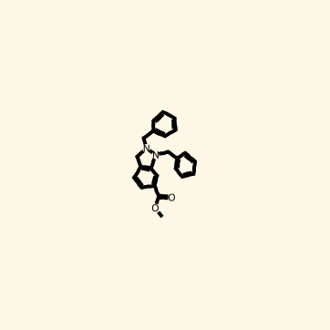 COC(=O)c1ccc2c(c1)N(Cc1ccccc1)N(Cc1ccccc1)C2